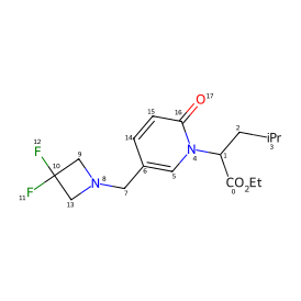 CCOC(=O)C(CC(C)C)n1cc(CN2CC(F)(F)C2)ccc1=O